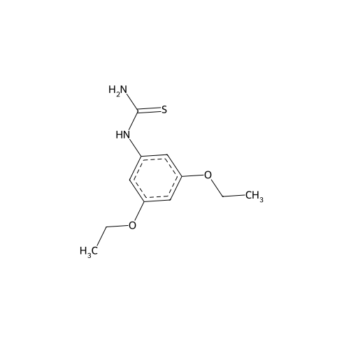 CCOc1cc(NC(N)=S)cc(OCC)c1